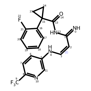 N=C(/C=C\Nc1ccc(C(F)(F)F)nc1)NC(=O)C1(c2ccccc2F)CC1